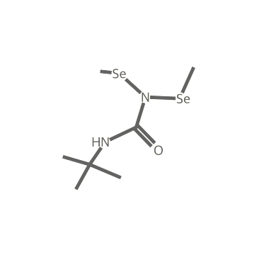 C[Se]N([Se]C)C(=O)NC(C)(C)C